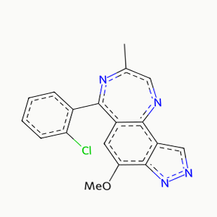 COc1cc2c(-c3ccccc3Cl)nc(C)cnc2c2cnnc12